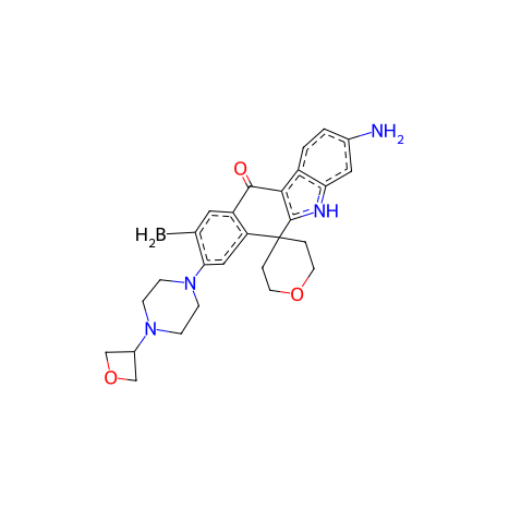 Bc1cc2c(cc1N1CCN(C3COC3)CC1)C1(CCOCC1)c1[nH]c3cc(N)ccc3c1C2=O